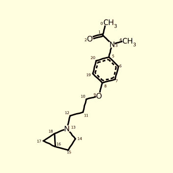 CC(=O)N(C)c1ccc(OCCCN2CCC3CC32)cc1